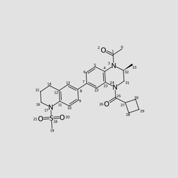 CC(=O)N1c2ccc(-c3ccc4c(c3)CCCN4S(C)(=O)=O)cc2N(C(=O)C2CCC2)C[C@@H]1C